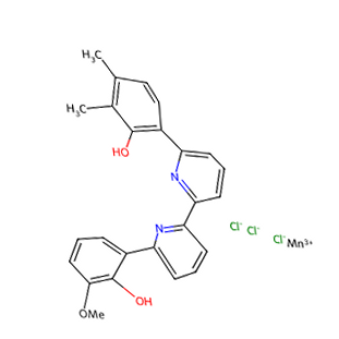 COc1cccc(-c2cccc(-c3cccc(-c4ccc(C)c(C)c4O)n3)n2)c1O.[Cl-].[Cl-].[Cl-].[Mn+3]